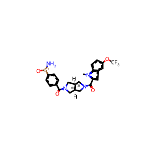 Cn1c(C(=O)N2C[C@H]3CN(C(=O)c4ccc([S+](N)[O-])cc4)C[C@H]3C2)cc2cc(OC(F)(F)F)ccc21